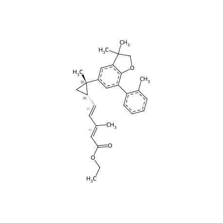 CCOC(=O)/C=C(C)/C=C/[C@@H]1C[C@]1(C)c1cc(-c2ccccc2C)c2c(c1)C(C)(C)CO2